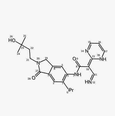 CC(C)c1cc2c(cc1NC(=O)/C(C=N)=C1\N=CC=CN1)CN(CCC(C)(C)O)C2=O